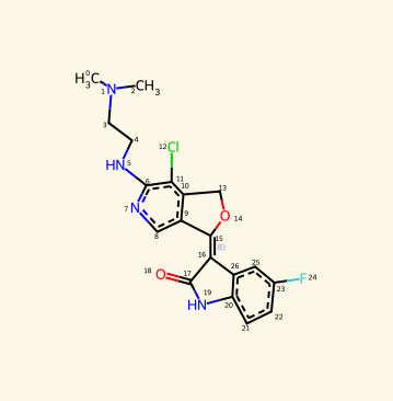 CN(C)CCNc1ncc2c(c1Cl)CO/C2=C1/C(=O)Nc2ccc(F)cc21